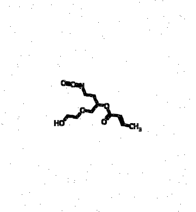 C/C=C/C(=O)OC(CCN=C=O)COCCO